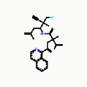 C#CC(C)(CF)C(CC(=C)C)NC(=C)C(C)(CC(=C)c1nccc2ccccc12)C(C)C